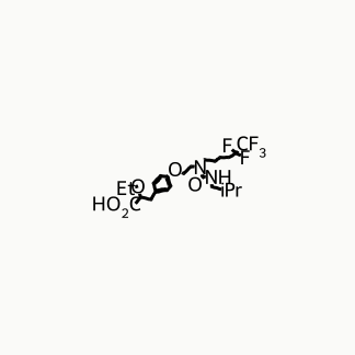 CCOC(Cc1ccc(OCCN(CCCCC(F)(F)C(F)(F)F)C(=O)NCC(C)C)cc1)C(=O)O